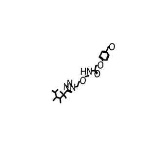 CC(C)C(C)C(C)C(C)(C)c1cn(CCOCCNC(=O)COc2ccc(C=O)cc2)nn1